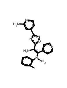 N/C(=C(/c1ccncc1)N(N)c1ccccc1F)c1nc(-c2ccnc(N)c2)no1